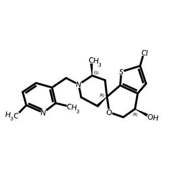 Cc1ccc(CN2CC[C@]3(C[C@@H]2C)OC[C@H](O)c2cc(Cl)sc23)c(C)n1